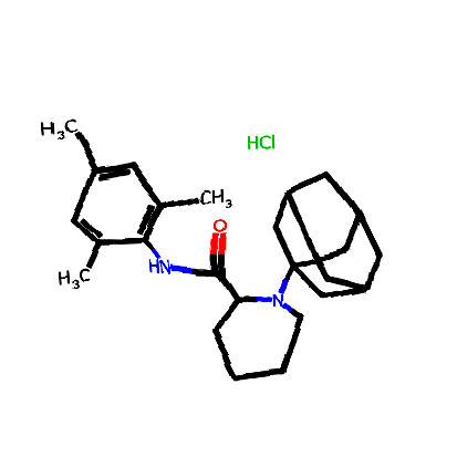 Cc1cc(C)c(NC(=O)C2CCCCN2C23CC4CC(CC(C4)C2)C3)c(C)c1.Cl